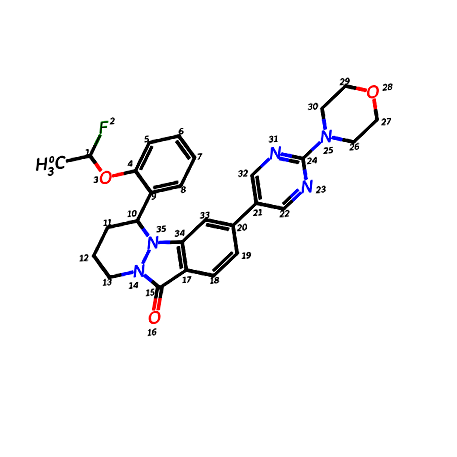 CC(F)Oc1ccccc1C1CCCn2c(=O)c3ccc(-c4cnc(N5CCOCC5)nc4)cc3n21